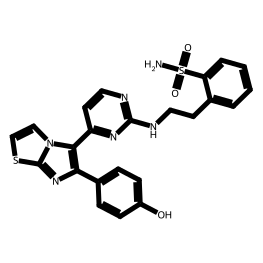 NS(=O)(=O)c1ccccc1CCNc1nccc(-c2c(-c3ccc(O)cc3)nc3sccn23)n1